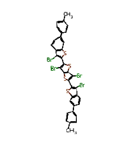 Cc1ccc(-c2ccc3c(Br)c(-c4sc5c(Br)c(-c6sc7cc(-c8ccc(C)cc8)ccc7c6Br)sc5c4Br)sc3c2)cc1